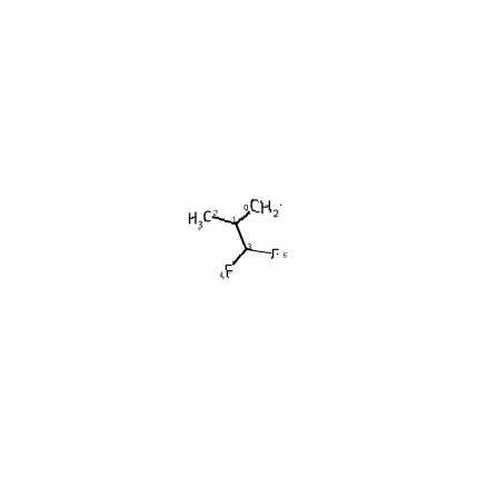 [CH2]C(C)C(F)F